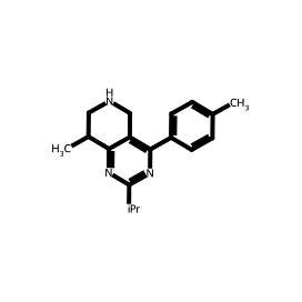 Cc1ccc(-c2nc(C(C)C)nc3c2CNCC3C)cc1